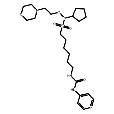 O=C(NCCCCCCS(=O)(=O)N(OCCN1CCOCC1)C1CCCC1)Nc1ccncc1